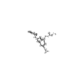 CCOC(=O)CCc1cc(C2CC2)cn2cc(CN=[N+]=[N-])nc12